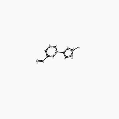 Cn1cc(-c2cccc(C=O)c2)cn1